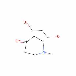 BrCCCBr.CN1CCC(=O)CC1